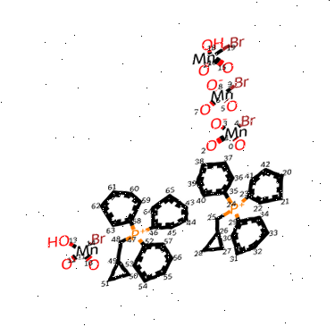 [O]=[Mn](=[O])([O-])[Br].[O]=[Mn](=[O])([O-])[Br].[O]=[Mn](=[O])([OH])[Br].[O]=[Mn](=[O])([OH])[Br].c1ccc([P+](CC2CC2)(c2ccccc2)c2ccccc2)cc1.c1ccc([P+](CC2CC2)(c2ccccc2)c2ccccc2)cc1